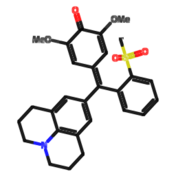 [CH2]S(=O)(=O)c1ccccc1C(=C1C=C(OC)C(=O)C(OC)=C1)c1cc2c3c(c1)CCCN3CCC2